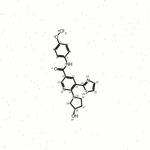 O=C(Nc1ccc(OC(F)(F)F)cc1)c1cnc(N2CC[C@@H](O)C2)c(-c2nccs2)c1